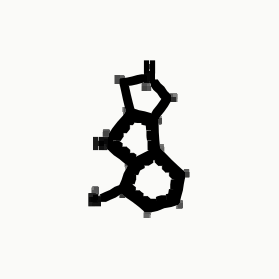 Brc1cccc2c3c([nH]c12)CNC3